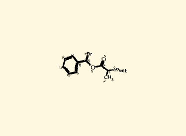 CCCCCC(C)C(=O)OC(Br)c1ccccc1